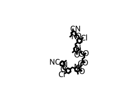 Cc1cc(C#N)cc(Oc2cc(Cc3cc(C)c(=O)n(COC(=O)CCC(=O)OCn4nc(Cc5ccc(Cl)c(Oc6cc(C#N)cc(C)n6)c5)cc(C)c4=O)n3)ccc2Cl)n1